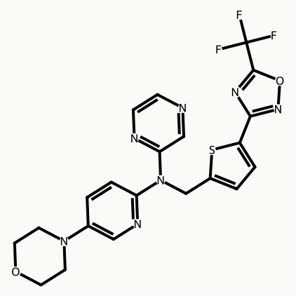 FC(F)(F)c1nc(-c2ccc(CN(c3ccc(N4CCOCC4)cn3)c3cnccn3)s2)no1